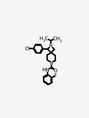 CC(C)N1CC2(CCN(C(=O)Nc3ccccc3F)CC2)C1c1ccc(Cl)cc1